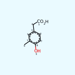 Cc1cc(CC(=O)O)ccc1O